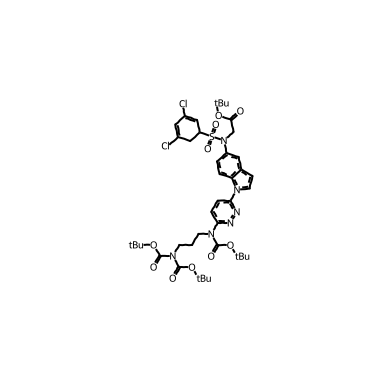 CC(C)(C)OC(=O)CN(c1ccc2c(ccn2-c2ccc(N(CCCN(C(=O)OC(C)(C)C)C(=O)OC(C)(C)C)C(=O)OC(C)(C)C)nn2)c1)S(=O)(=O)C1C=C(Cl)C=C(Cl)C1